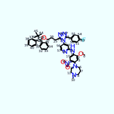 COc1cc(N2CCCN(C)CC2)c([N+](=O)[O-])cc1Nc1cc(-n2c(CCCO[Si](c3ccccc3)(c3ccccc3)C(C)(C)C)nnc2-c2ccc(F)cc2)ccn1